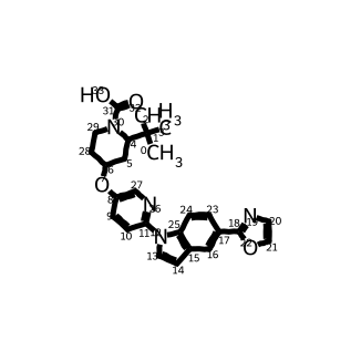 CC(C)(C)C1CC(Oc2ccc(-n3ccc4cc(-c5ncco5)ccc43)nc2)CCN1C(=O)O